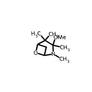 COC1(C)N(C)C2CC(O2)C1(C)C